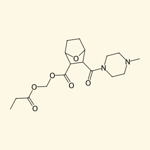 CCC(=O)OCOC(=O)C1C2CCC(O2)C1C(=O)N1CCN(C)CC1